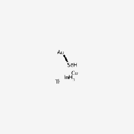 [Cu].[InH3].[SeH][Au].[Tl]